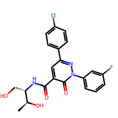 C[C@H](O)[C@H](CO)NC(=O)c1cc(-c2ccc(Cl)cc2)nn(-c2cccc(F)c2)c1=O